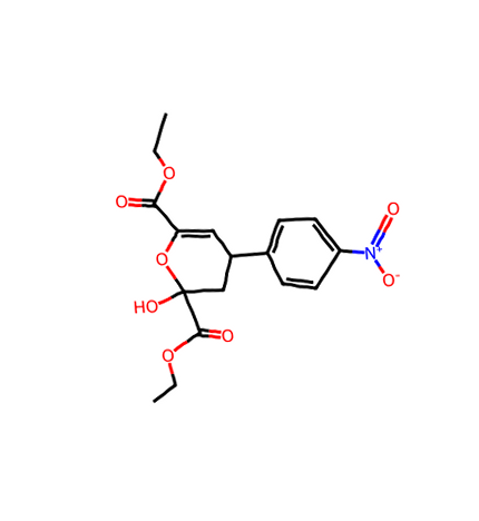 CCOC(=O)C1=CC(c2ccc([N+](=O)[O-])cc2)CC(O)(C(=O)OCC)O1